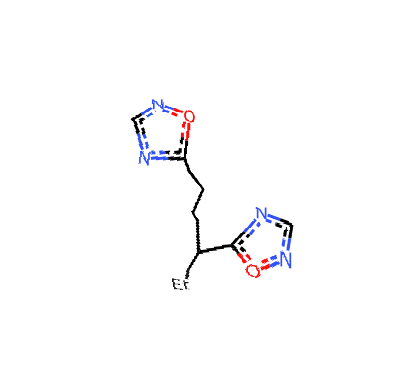 [CH2]CC(CCc1ncno1)c1ncno1